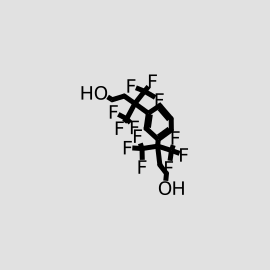 OCCC(c1cccc(C(CCO)(C(F)(F)F)C(F)(F)F)c1)(C(F)(F)F)C(F)(F)F